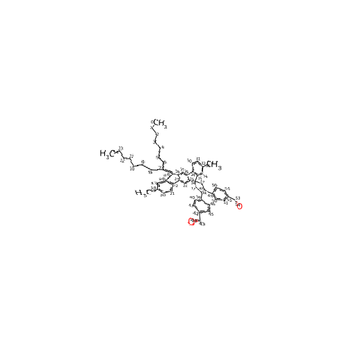 CCCCCCCC(CCCCCCC)=C1c2cc(C)ccc2-c2cc3c(cc21)-c1ccc(C)cc1C3(CCc1ccc(C=O)cc1)CCc1ccc(C=O)cc1